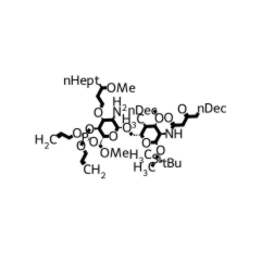 C=CCOP(=O)(OCC=C)O[C@H]1[C@H](OCC[C@@H](CCCCCCC)OC)[C@@H](N)[C@H](OC[C@H]2O[C@@H](O[Si](C)(C)C(C)(C)C)[C@H](NC(=O)CC(=O)CCCCCCCCCCC)[C@@H](OCCCCCCCCCC)[C@@H]2C)O[C@@H]1COC